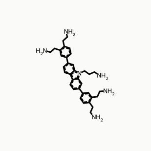 NCCCn1c2cc(-c3ccc(CCN)c(CCN)c3)ccc2c2ccc(-c3ccc(CCN)c(CCN)c3)cc21